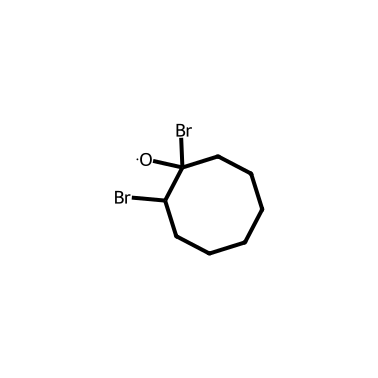 [O]C1(Br)CCCCCCC1Br